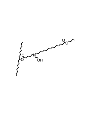 CCCCCCCCC(CCCCCCCC)OC(=O)CCCCN(CCO)CCCCCCCCCCCCCCC(=O)OCCCC